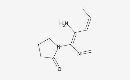 C=N/C(=C(N)\C=C/C)N1CCCC1=O